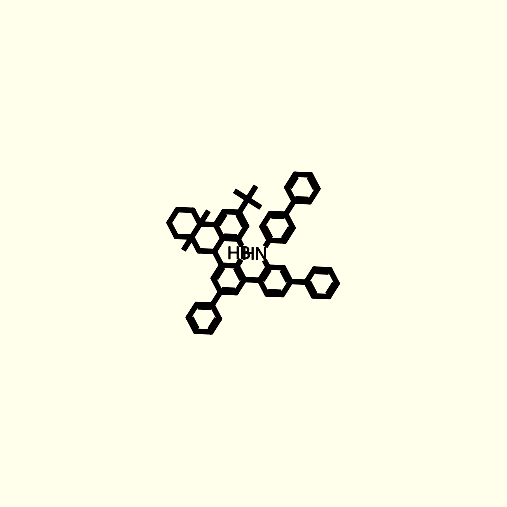 CC(C)(C)c1cc2c3c(c1)C1(C)CCCCC1(C)CC3c1cc(-c3ccccc3)cc(-c3ccc(-c4ccccc4)cc3Nc3ccc(-c4ccccc4)cc3)c1B2